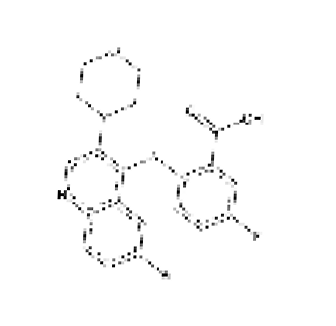 O=C(O)c1cc(F)ccc1Nc1c(C2CCOCC2)cnc2ccc(Br)cc12